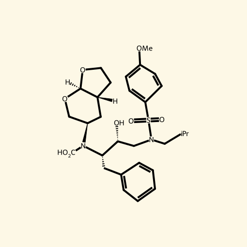 COc1ccc(S(=O)(=O)N(CC(C)C)C[C@@H](O)[C@H](Cc2ccccc2)N(C(=O)O)[C@H]2CO[C@H]3OCC[C@@H]3C2)cc1